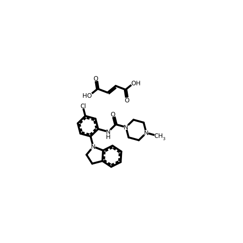 CN1CCN(C(=O)Nc2cc(Cl)ccc2N2CCc3ccccc32)CC1.O=C(O)C=CC(=O)O